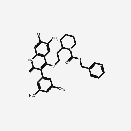 Cc1cc(C)cc(-c2c(OCCC3CCCCN3C(=O)OCc3ccccc3)c3cc(N)c(Cl)cc3[nH]c2=O)c1